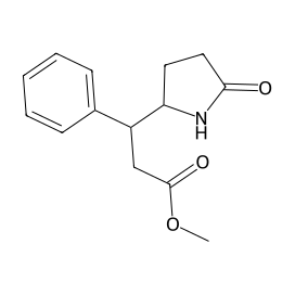 COC(=O)CC(c1ccccc1)C1CCC(=O)N1